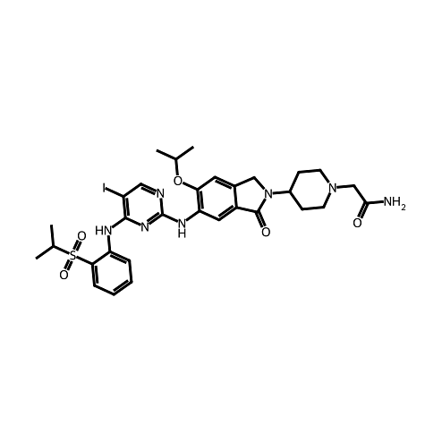 CC(C)Oc1cc2c(cc1Nc1ncc(I)c(Nc3ccccc3S(=O)(=O)C(C)C)n1)C(=O)N(C1CCN(CC(N)=O)CC1)C2